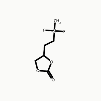 C[Si](F)(F)CCC1COC(=O)O1